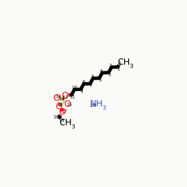 CCCCCCCCCCCCOS(=O)(=O)OOCC.N